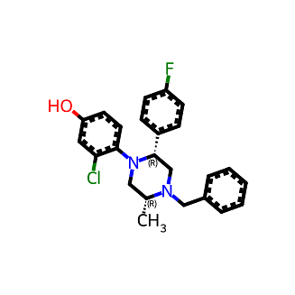 C[C@@H]1CN(c2ccc(O)cc2Cl)[C@H](c2ccc(F)cc2)CN1Cc1ccccc1